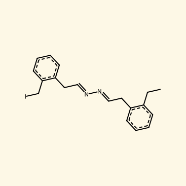 CCc1ccccc1C/C=N/N=C/Cc1ccccc1CI